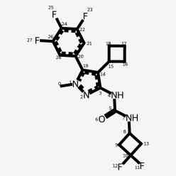 Cn1nc(NC(=O)NC2CC(F)(F)C2)c(C2CCC2)c1-c1cc(F)c(F)c(F)c1